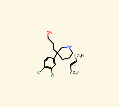 O=C(O)/C=C/C(=O)O.OCCCC1(c2ccc(Cl)c(Cl)c2)CCCNC1